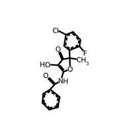 CC1(c2cc(Cl)ccc2F)OC(NC(=O)c2ccccc2)=C(O)C1=O